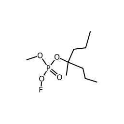 CCCC(C)(CCC)OP(=O)(OC)OF